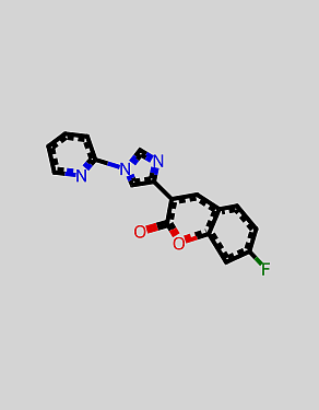 O=c1oc2cc(F)ccc2cc1-c1cn(-c2ccccn2)cn1